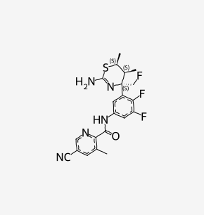 Cc1cc(C#N)cnc1C(=O)Nc1cc(F)c(F)c([C@@]2(CF)N=C(N)S[C@@H](C)[C@H]2C)c1